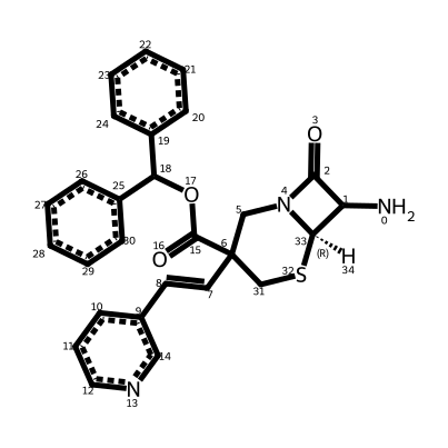 NC1C(=O)N2CC(C=Cc3cccnc3)(C(=O)OC(c3ccccc3)c3ccccc3)CS[C@H]12